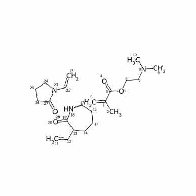 C=C(C)C(=O)OCCN(C)C.C=CC1CCCCNC1=O.C=CN1CCCC1=O